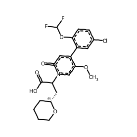 COc1cn(C(C[C@H]2CCCCO2)C(=O)O)c(=O)cc1-c1cc(Cl)ccc1OC(F)F